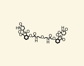 O=C(COc1cccc2c1C(=O)N(C1CCC(=O)NC1=O)C2=O)NCCOCCNC(=O)COc1cccc2c1C(=O)N(C1CCC(=O)NC1=O)C2=O